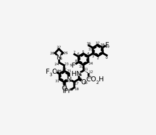 Cc1cc(-c2cc(C)c(F)c([C@H](CC(=O)O)NC(=O)C(CC(C)C)n3cc(CCN4CCC4)c(C(F)(F)F)cc3=O)c2)c(C)cc1F